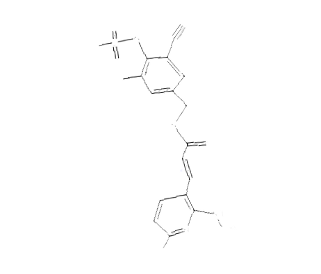 C#Cc1cc(CNC(=O)/C=C/c2ccc(C(F)(F)F)nc2NCCCC)cc(F)c1NS(C)(=O)=O